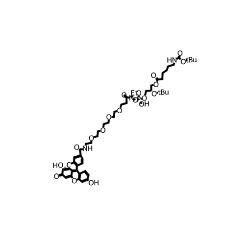 CCN(OP(=O)(O)OCC(COC(=O)CCCCCNC(=O)OC(C)(C)C)OC(C)(C)C)C(=O)CCOCCOCCOCCOCCNC(=O)c1ccc(-c2c3ccc(=O)cc-3oc3cc(O)ccc23)c(C(=O)O)c1